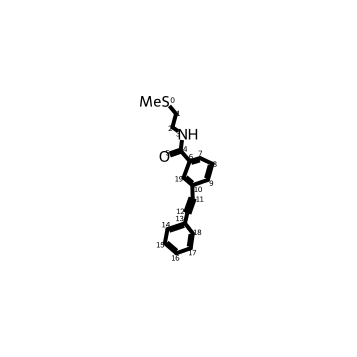 CSCCNC(=O)c1cccc(C#Cc2ccccc2)c1